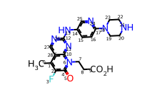 Cc1c(F)c(=O)n(CCC(=O)O)c2nc(Nc3ccc(N4CCNCC4)nc3)ncc12